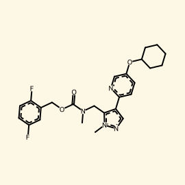 CN(Cc1c(-c2ccc(OC3CCCCC3)cn2)cnn1C)C(=O)OCc1cc(F)ccc1F